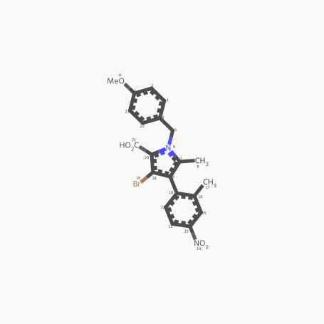 COc1ccc(Cn2c(C)c(-c3ccc([N+](=O)[O-])cc3C)c(Br)c2C(=O)O)cc1